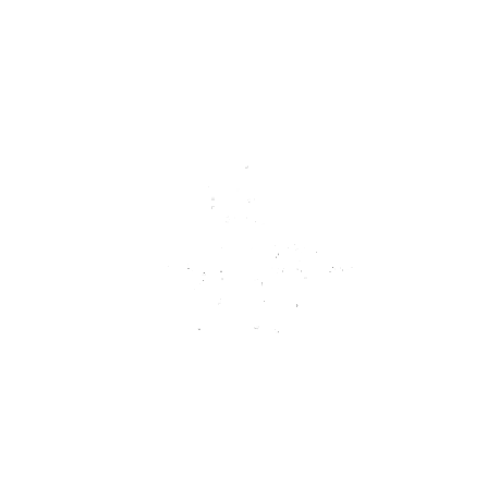 CNCc1cc(OCc2cc(F)ccc2F)n(CC2CCCC2)n1.O=C(O)CC(O)(CC(=O)O)C(=O)O